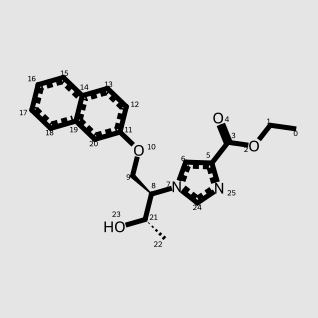 CCOC(=O)c1cn([C@H](COc2ccc3ccccc3c2)[C@H](C)O)cn1